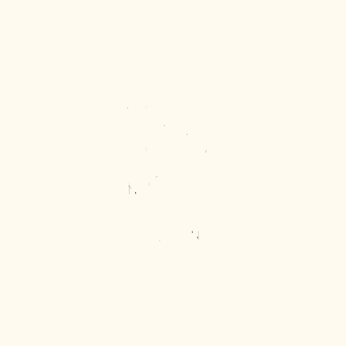 O=[N+]([O-])c1cc2ccc(S(=O)(=O)O)cc2c([N+](=O)[O-])c1S(=O)(=O)O